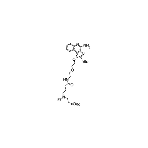 CCCCCCCCCCCCN(CC)CCCC(=O)NCCOCCOn1c(CCCC)nc2c(N)nc3ccccc3c21